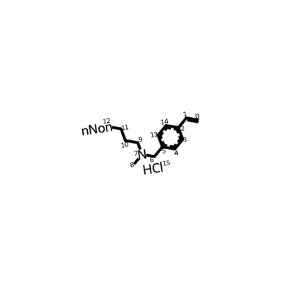 C=Cc1ccc(CN(C)CCCCCCCCCCCC)cc1.Cl